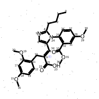 CCCCc1ncc(/C=C(\Cc2ccc(OC)cc2OC)C(=O)O)n1-c1ccc(OC)cc1C(=O)OC